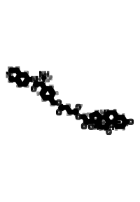 C[C@]12C=CC(=O)C=C1CC[C@@H]1[C@@H]2C(=O)C[C@@]2(C)[C@H]1CC[C@]2(O)C(=O)COC(=O)CCC(=O)OCc1ccc([C@@H](CN)C(=O)Nc2ccc3cnccc3c2)cc1